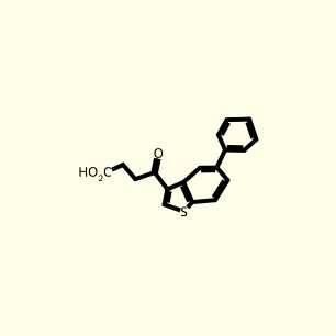 O=C(O)CCC(=O)c1csc2ccc(-c3ccccc3)cc12